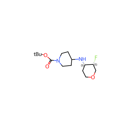 CC(C)(C)OC(=O)N1CCC(N[C@H]2CCOC[C@H]2F)CC1